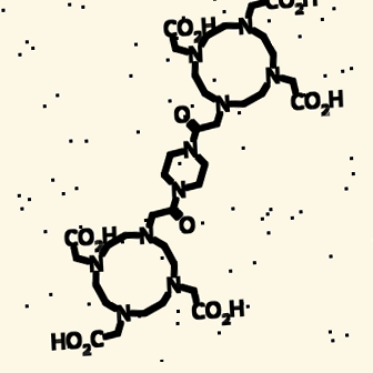 O=C(O)CN1CCN(CC(=O)O)CCN(CC(=O)N2CCN(C(=O)CN3CCN(CC(=O)O)CCN(CC(=O)O)CCN(CC(=O)O)CC3)CC2)CCN(CC(=O)O)CC1